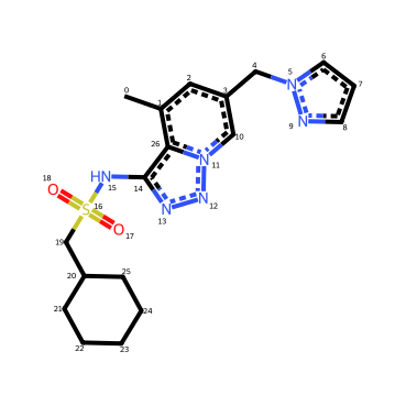 Cc1cc(Cn2cccn2)cn2nnc(NS(=O)(=O)CC3CCCCC3)c12